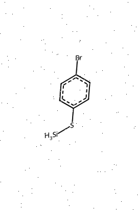 [SiH3]Sc1ccc(Br)cc1